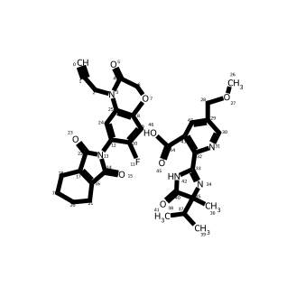 C#CCN1C(=O)COc2cc(F)c(N3C(=O)C4=C(CCCC4)C3=O)cc21.COCc1cnc(C2=NC(C)(C(C)C)C(=O)N2)c(C(=O)O)c1